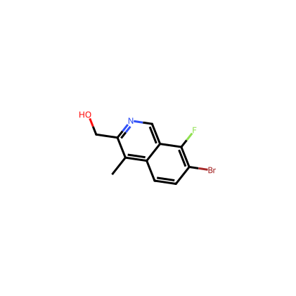 Cc1c(CO)ncc2c(F)c(Br)ccc12